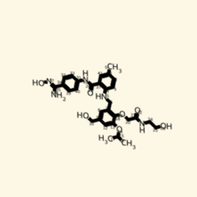 Cc1ccc(NCc2cc(CO)cc(OC(C)C)c2OCC(=O)NCCO)c(C(=O)Nc2ccc(/C(N)=N/O)cc2)c1